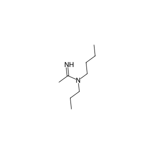 CCCCN(CCC)C(C)=N